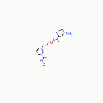 CO/N=C(\C)c1cccc(CCCO/N=C(\C)c2cc(N)ccn2)n1